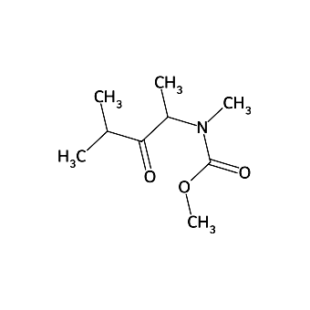 COC(=O)N(C)C(C)C(=O)C(C)C